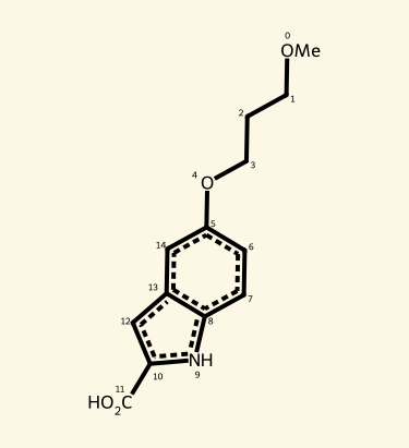 COCCCOc1ccc2[nH]c(C(=O)O)cc2c1